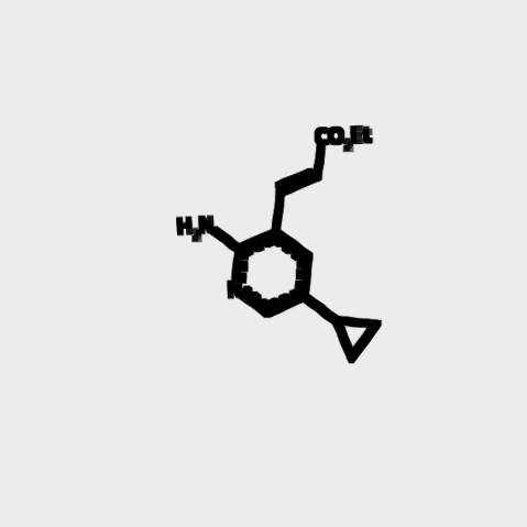 CCOC(=O)/C=C/c1cc(C2CC2)cnc1N